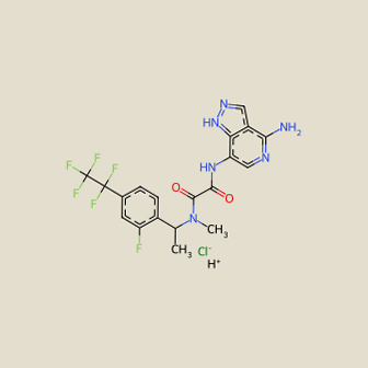 CC(c1ccc(C(F)(F)C(F)(F)F)cc1F)N(C)C(=O)C(=O)Nc1cnc(N)c2cn[nH]c12.[Cl-].[H+]